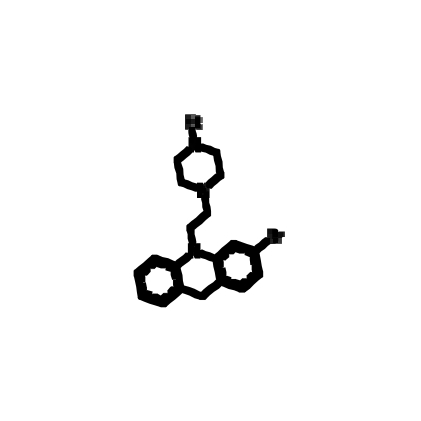 CCN1CCN(CCN2c3ccccc3Cc3ccc(Br)cc32)CC1